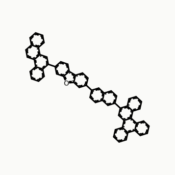 c1ccc2c(c1)ccc1c3ccccc3c(-c3ccc4c(c3)oc3cc(-c5ccc6cc(-c7cc8c9ccccc9c9ccccc9c8c8ccccc78)ccc6c5)ccc34)cc21